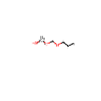 CCCOCO[SiH2]O